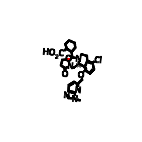 Cn1cnc2ccc(COc3ccc(Cl)c4c3[C@@H](CN3CCCC3=O)N(C(=O)C3CCCCC3C(=O)O)CC4)nc21